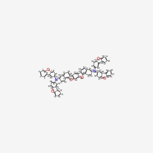 c1ccc2c(c1)oc1ccc(N(c3ccc4c(ccc5c6cc7c(cc6oc45)oc4c5ccc(N(c6ccc8oc9ccccc9c8c6)c6ccc8oc9ccccc9c8c6)cc5ccc74)c3)c3ccc4oc5ccccc5c4c3)cc12